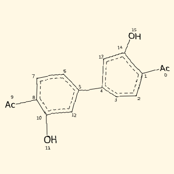 CC(=O)c1ccc(-c2ccc(C(C)=O)c(O)c2)cc1O